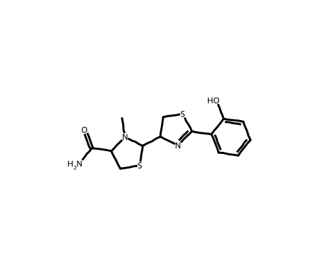 CN1C(C(N)=O)CSC1C1CSC(c2ccccc2O)=N1